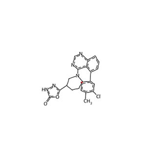 Cc1ccc(-c2cccc3ncnc(N4CCCC(c5n[nH]c(=O)o5)C4)c23)cc1Cl